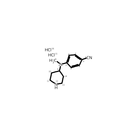 CN(c1ccc(C#N)cc1)C1CCNCC1.Cl.Cl